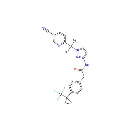 [2H]C([2H])(c1ccc(C#N)cn1)n1ccc(NC(=O)Cc2ccc(C3(C(F)(F)F)CC3)cc2)n1